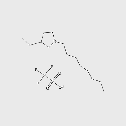 CCCCCCCCN1CCC(CC)C1.O=S(=O)(O)C(F)(F)F